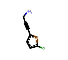 NCC#Cc1ccc(Cl)s1